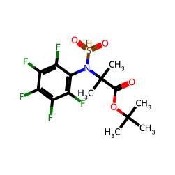 CC(C)(C)OC(=O)C(C)(C)N(c1c(F)c(F)c(F)c(F)c1F)[SH](=O)=O